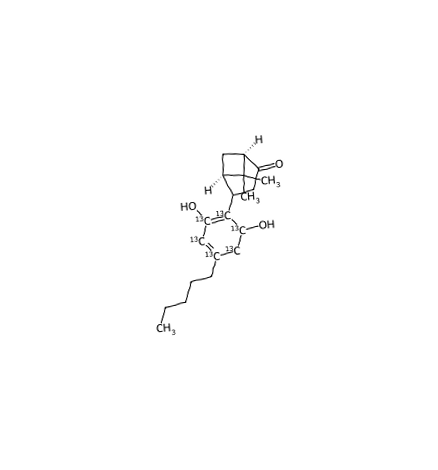 CCCCC[13C]1=[13CH][13C](O)=[13C](C2CC(=O)[C@@H]3C[C@H]2C3(C)C)[13CH](O)[13CH2]1